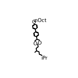 CCCCCCCCOc1ccc(-c2ccc(C3COC(CCC(C)CCCC(C)C)OC3)cc2)cc1